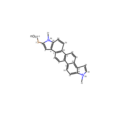 CCCCCCCCSc1cc2c3ccc4c(ccc5c4ccc4c5ccn4C)c3ccc2n1C